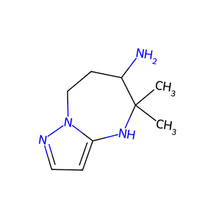 CC1(C)Nc2ccnn2CCC1N